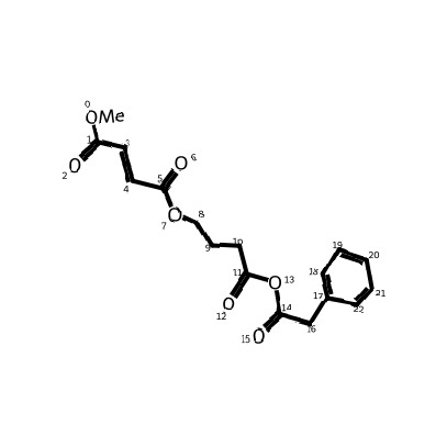 COC(=O)C=CC(=O)OCCCC(=O)OC(=O)Cc1ccccc1